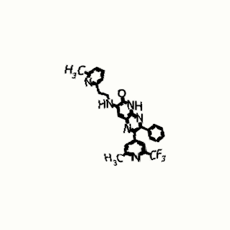 Cc1cccc(CCNc2cc3nc(-c4cc(C)nc(C(F)(F)F)c4)c(-c4ccccc4)nc3[nH]c2=O)n1